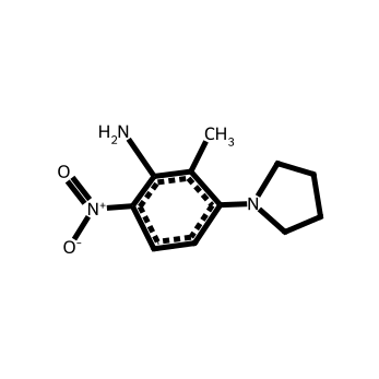 Cc1c(N2CCCC2)ccc([N+](=O)[O-])c1N